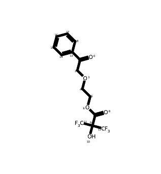 O=C(COCCOC(=O)C(O)(C(F)(F)F)C(F)(F)F)c1ccccc1